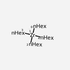 CCCCC[CH2][Zr]([CH2]CCCCC)([CH2]CCCCC)[CH2]CCCCC